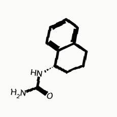 NC(=O)N[C@H]1CCCc2ccccc21